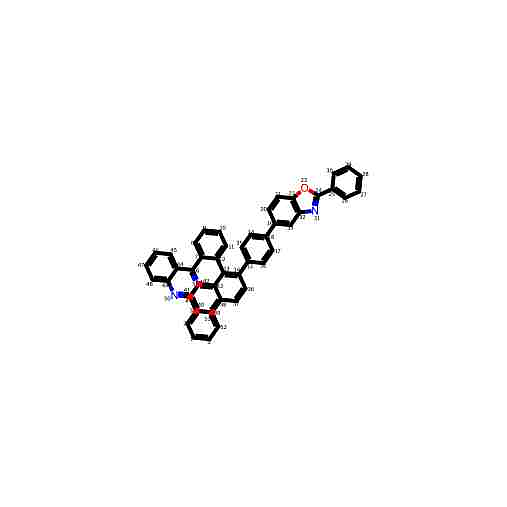 c1ccc(-c2nc(-c3ccccc3-c3c(-c4ccc(-c5ccc6oc(-c7ccccc7)nc6c5)cc4)ccc4ccccc34)c3ccccc3n2)cc1